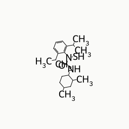 CC1CCC(NC(=O)N(S)c2c(C(C)C)cccc2C(C)C)C(C)C1